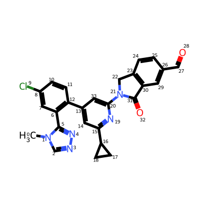 Cn1cnnc1-c1cc(Cl)ccc1-c1cc(C2CC2)nc(N2Cc3ccc(C=O)cc3C2=O)c1